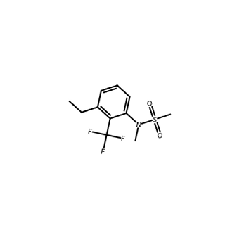 CCc1cccc(N(C)S(C)(=O)=O)c1C(F)(F)F